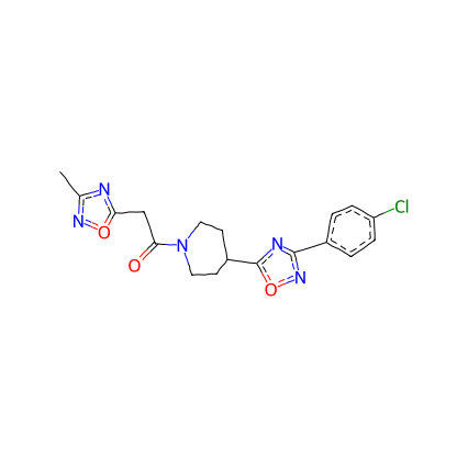 Cc1noc(CC(=O)N2CCC(c3nc(-c4ccc(Cl)cc4)no3)CC2)n1